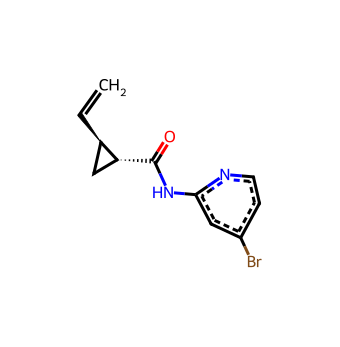 C=C[C@@H]1C[C@H]1C(=O)Nc1cc(Br)ccn1